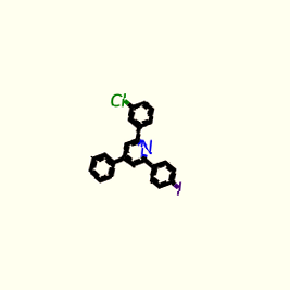 Clc1cccc(-c2cc(-c3ccccc3)cc(-c3ccc(I)cc3)n2)c1